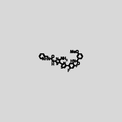 COc1cccc(C(=O)Nc2cc(-c3csc(-c4sc(NC(=O)NCc5ccccn5)nc4N)n3)c(F)cc2F)c1